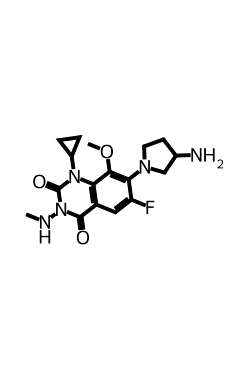 CNn1c(=O)c2cc(F)c(N3CCC(N)C3)c(OC)c2n(C2CC2)c1=O